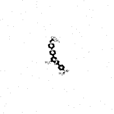 Cc1cc(C2CCN(C3CCN(CC(C)C)CC3)CC2)cn2cc(-c3ccc([S+](C)[O-])cc3)nc12